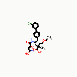 CCOCCC(C)(C[C@@H](Cc1ccc(-c2cccc(Cl)c2)cc1)NC(=O)c1cc(O)no1)C(=O)O